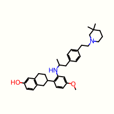 COc1ccc(C2CCc3cc(O)ccc3C2)c(NC(C)Cc2ccc(CCN3CCCC(C)(C)C3)cc2)c1